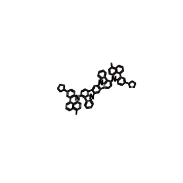 Cc1ccc(N(c2ccc(C3CCCC3)cc2-c2ccccc2)c2ccc3c4cc5c(cc4n4c6ccccc6c2c34)c2ccc(N(c3ccc(C)cc3)c3ccc(C4CCCC4)cc3-c3ccccc3)c3c4ccccc4n5c23)cc1